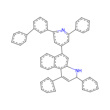 C1=C(c2ccccc2)c2c(cc(-c3cc(-c4ccccc4)nc(-c4cccc(-c5ccccc5)c4)c3)c3ccccc23)NC1c1ccccc1